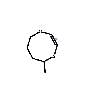 CC1CCCO/C=C\S1